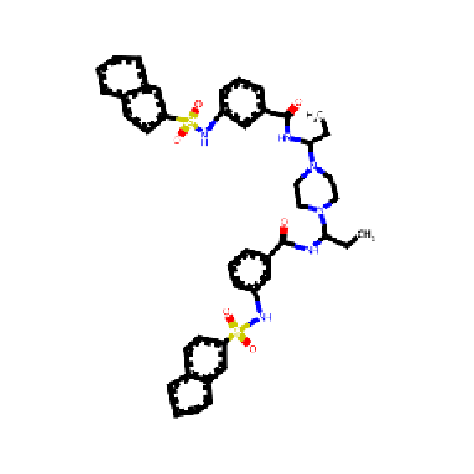 CCC(NC(=O)c1cccc(NS(=O)(=O)c2ccc3ccccc3c2)c1)N1CCN(C(CC)NC(=O)c2cccc(NS(=O)(=O)c3ccc4ccccc4c3)c2)CC1